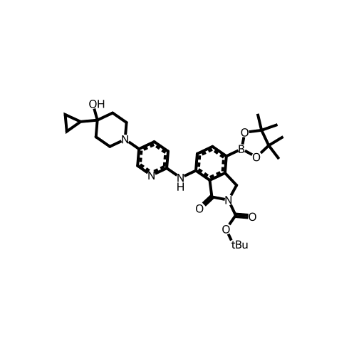 CC(C)(C)OC(=O)N1Cc2c(B3OC(C)(C)C(C)(C)O3)ccc(Nc3ccc(N4CCC(O)(C5CC5)CC4)cn3)c2C1=O